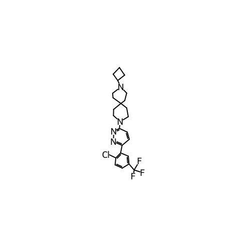 FC(F)(F)c1ccc(Cl)c(-c2ccc(N3CCC4(CC3)CCN(C3CCC3)CC4)nn2)c1